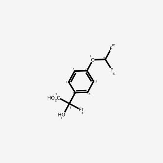 CCC(O)(C(=O)O)c1ccc(OC(F)F)cc1